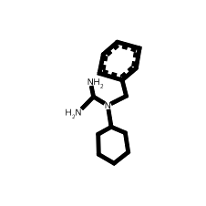 NC(N)N(Cc1ccccc1)C1CCCCC1